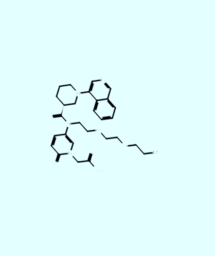 NCCOCCOCCN(C(=O)[C@H]1CCCN(c2cncc3ccccc23)C1)c1ccc(=O)n(CC(=O)O)c1